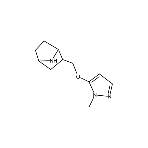 Cn1nccc1OCC1CC2CCC1N2